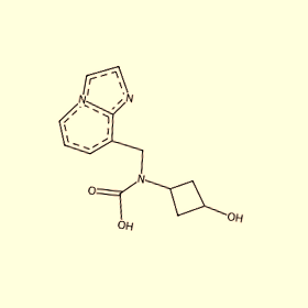 O=C(O)N(Cc1cccn2ccnc12)C1CC(O)C1